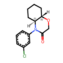 O=C1CO[C@H]2CCCC[C@@H]2N1c1cccc(Cl)c1